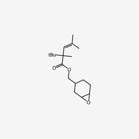 CC(C)=CC(C)(C(=O)OCC1CCC2OC2C1)C(C)(C)C